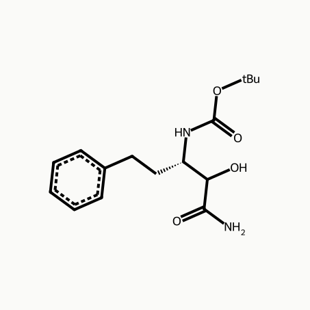 CC(C)(C)OC(=O)N[C@@H](CCc1ccccc1)C(O)C(N)=O